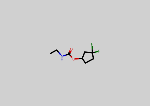 CCNC(=O)OC1CCC(F)(F)C1